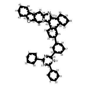 c1ccc(-c2nc(-c3ccccc3)nc(-c3cccc(-c4ccc5c(c4)c4ccccc4c4nc6cc7c(cn6c54)oc4ccccc47)c3)n2)cc1